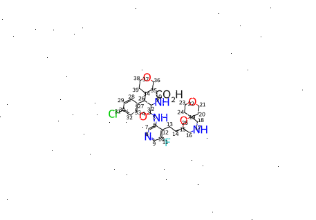 O=C(O)NC(C(=O)Nc1cncc(F)c1CC[C@@H]1CNCC2(CCOCC2)O1)C(c1ccc(Cl)cc1)C1CCOCC1